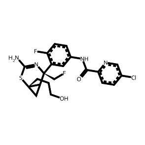 NC1=N[C@](CF)(c2cc(NC(=O)c3ccc(Cl)cn3)ccc2F)C2C[C@]2(CCCO)S1